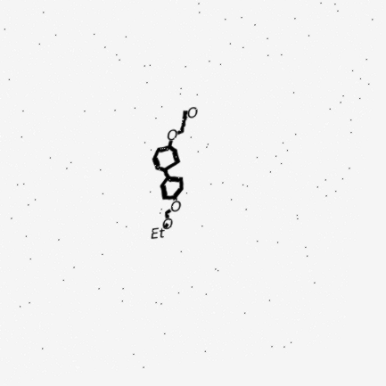 CCOCOc1ccc(C2C=CC=C(OCC3CO3)C=C2)cc1